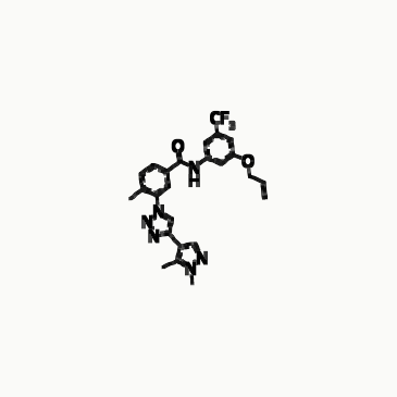 C=CCOc1cc(NC(=O)c2ccc(C)c(-n3cc(-c4cnn(C)c4C)nn3)c2)cc(C(F)(F)F)c1